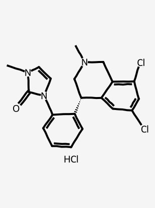 CN1Cc2c(Cl)cc(Cl)cc2[C@H](c2ccccc2-n2ccn(C)c2=O)C1.Cl